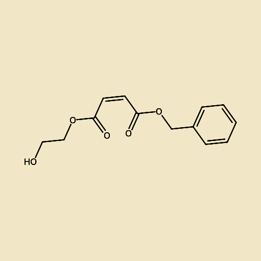 O=C(/C=C\C(=O)OCc1ccccc1)OCCO